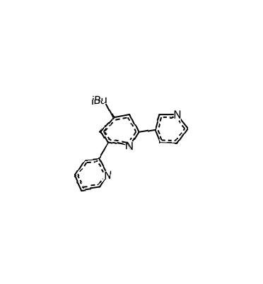 CCC(C)c1cc(-c2cccnc2)nc(-c2ccccn2)c1